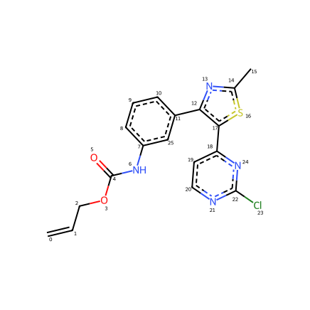 C=CCOC(=O)Nc1cccc(-c2nc(C)sc2-c2ccnc(Cl)n2)c1